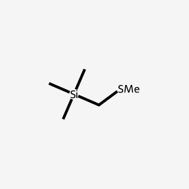 CSC[Si](C)(C)C